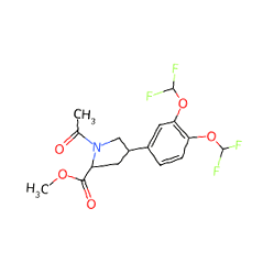 COC(=O)C1CC(c2ccc(OC(F)F)c(OC(F)F)c2)CN1C(C)=O